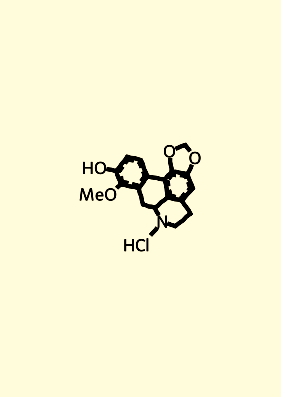 COc1c(O)ccc2c1CC1c3c(cc4c(c3-2)OCO4)CCN1C.Cl